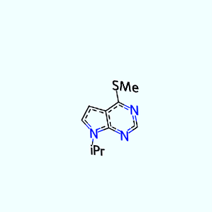 CSc1ncnc2c1ccn2C(C)C